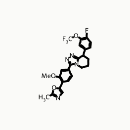 COc1cc(-c2nnc3n2CCCC3c2ccc(F)c(OC(F)(F)F)c2)ccc1-c1cnc(C)o1